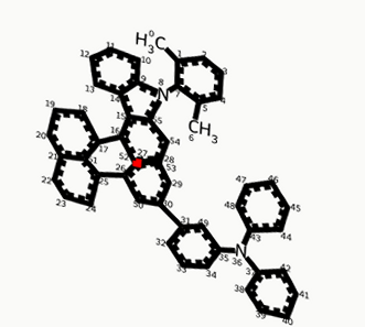 Cc1cccc(C)c1-n1c2ccccc2c2c(-c3cccc4cccc(-c5cccc(-c6cccc(N(c7ccccc7)c7ccccc7)c6)c5)c34)cccc21